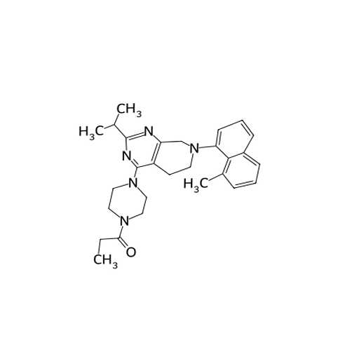 CCC(=O)N1CCN(c2nc(C(C)C)nc3c2CCN(c2cccc4cccc(C)c24)C3)CC1